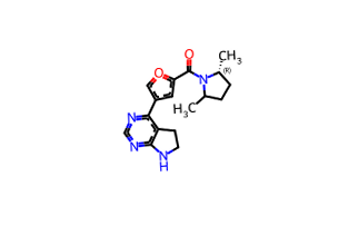 CC1CC[C@@H](C)N1C(=O)c1cc(-c2ncnc3c2CCN3)co1